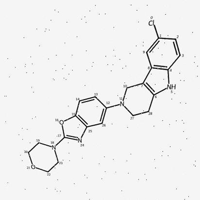 Clc1ccc2[nH]c3c(c2c1)CN(c1ccc2oc(N4CCOCC4)nc2c1)CC3